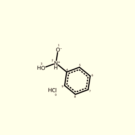 Cl.[O-][NH+](O)c1ccccc1